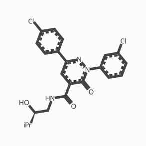 CC(C)[C@@H](O)CNC(=O)c1cc(-c2ccc(Cl)cc2)nn(-c2cccc(Cl)c2)c1=O